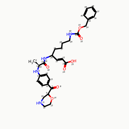 C[C@H](Nc1ccc(C(=O)C2CNCCO2)cc1)C(=O)NC(C=CC(=O)O)CCCCNC(=O)OCc1ccccc1